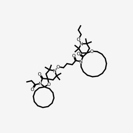 CCCON1C(C)(C)CC2(CC1(C)C)OCCCCCCCCCCCN(C(=O)CCCON1C(C)(C)CC3(CC1(C)C)OC1(CCCCCCCCCCC1)N(C(=O)CC)C3=O)C2=O